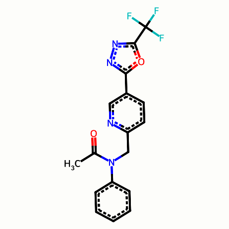 CC(=O)N(Cc1ccc(-c2nnc(C(F)(F)F)o2)cn1)c1ccccc1